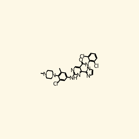 Cc1cc(Nc2ncc3c(=O)n(-c4c(Cl)cccc4Cl)n4ccnc4c3n2)cc(Cl)c1N1CCN(C)CC1